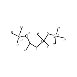 CC(CC(C)(C)C[Si](C)(C)C)O[Si](C)(C)C